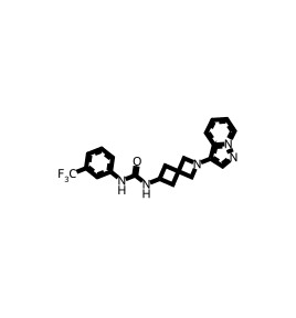 O=C(Nc1cccc(C(F)(F)F)c1)NC1CC2(C1)CN(c1cnn3ccccc13)C2